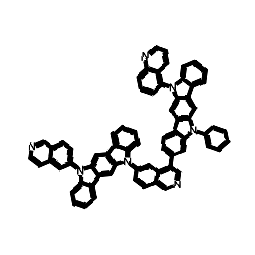 c1ccc(-n2c3cc(-c4cncc5ccc(-n6c7ccccc7c7cc8c(cc76)c6ccccc6n8-c6ccc7cnccc7c6)cc45)ccc3c3cc4c(cc32)c2ccccc2n4-c2cccc3ncccc23)cc1